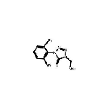 CC(C)c1cccc(C(C)C)c1-n1nnn(CC(C)(C)C)c1=S